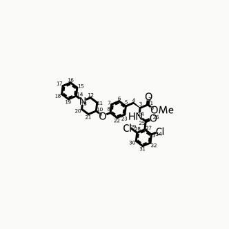 COC(=O)[C@H](Cc1ccc(OC2CCN(c3ccccc3)CC2)cc1)NC(=O)c1c(Cl)cccc1Cl